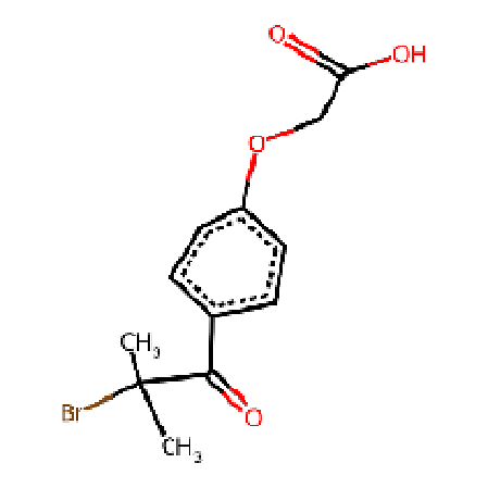 CC(C)(Br)C(=O)c1ccc(OCC(=O)O)cc1